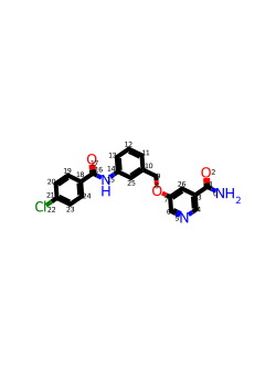 NC(=O)c1cncc(OCc2cccc(NC(=O)c3ccc(Cl)cc3)c2)c1